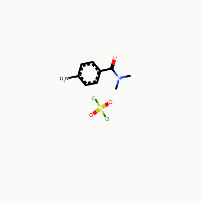 CN(C)C(=O)c1ccc([N+](=O)[O-])cc1.O=S(=O)(Cl)Cl